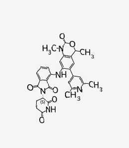 Cc1cc(-c2cc3c(cc2Nc2cccc4c2C(=O)N([C@H]2CCC(=O)NC2=O)C4=O)N(C)C(=O)OC3C)cc(C)n1